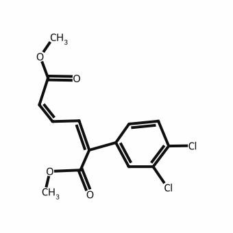 COC(=O)/C=C\C=C(/C(=O)OC)c1ccc(Cl)c(Cl)c1